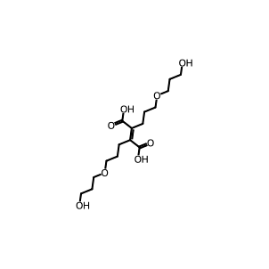 O=C(O)/C(CCCOCCCO)=C(\CCCOCCCO)C(=O)O